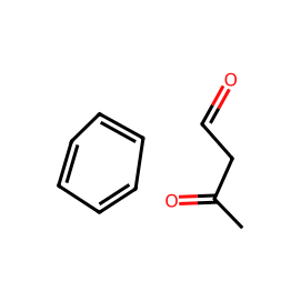 CC(=O)CC=O.c1ccccc1